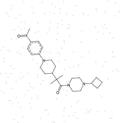 CC(=O)c1ccc(N2CCC(C(C)(C)C(=O)N3CCN(C4CCC4)CC3)CC2)cc1